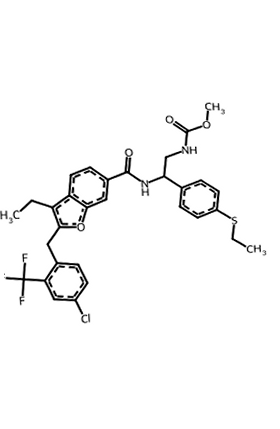 CCSc1ccc(C(CNC(=O)OC)NC(=O)c2ccc3c(CC)c(Cc4ccc(Cl)cc4C(F)(F)F)oc3c2)cc1